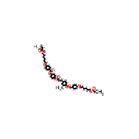 C=CC(=O)OCCCCCCOc1ccc(COOc2ccc(/C=C/C(=O)Oc3ccc(OC(=O)c4ccc(OCCCCCCOC(=O)C=C)cc4)cc3)cc2C)cc1